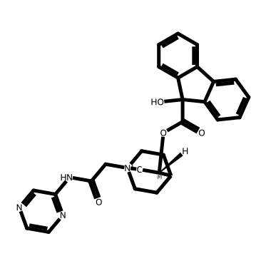 O=C(C[N+]12CCC(CC1)[C@@H](OC(=O)C1(O)c3ccccc3-c3ccccc31)C2)Nc1cnccn1